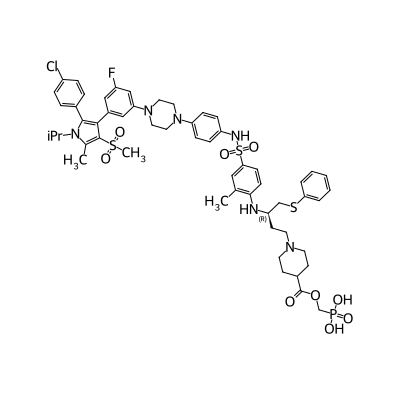 Cc1cc(S(=O)(=O)Nc2ccc(N3CCN(c4cc(F)cc(-c5c(S(C)(=O)=O)c(C)n(C(C)C)c5-c5ccc(Cl)cc5)c4)CC3)cc2)ccc1N[C@H](CCN1CCC(C(=O)OCP(=O)(O)O)CC1)CSc1ccccc1